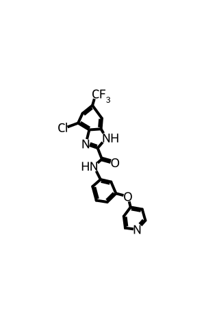 O=C(Nc1cccc(Oc2ccncc2)c1)c1nc2c(Cl)cc(C(F)(F)F)cc2[nH]1